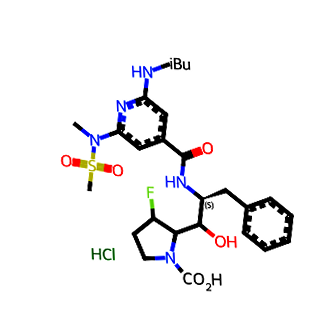 CCC(C)Nc1cc(C(=O)N[C@@H](Cc2ccccc2)C(O)C2C(F)CCN2C(=O)O)cc(N(C)S(C)(=O)=O)n1.Cl